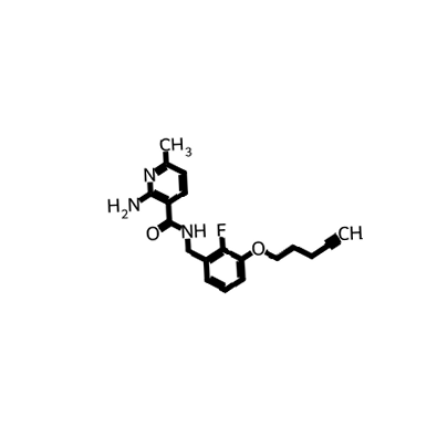 C#CCCCOc1cccc(CNC(=O)c2ccc(C)nc2N)c1F